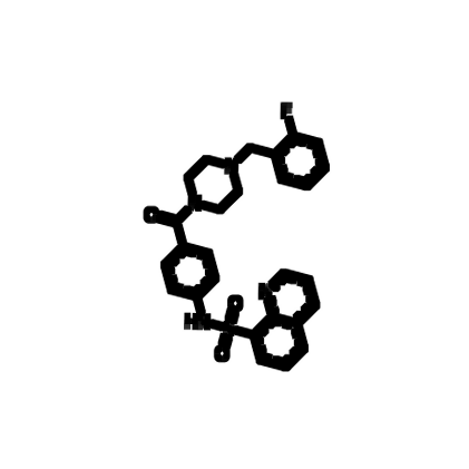 O=C(c1ccc(NS(=O)(=O)c2cccc3cccnc23)cc1)N1CCN(Cc2ccccc2F)CC1